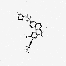 COc1cc(C#CC(C)(C)OC)c(F)cc1-n1c(=O)ccc2cc(S(=O)(=O)Nc3ccon3)ccc21